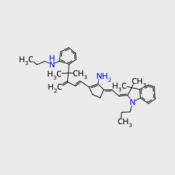 C=C(/C=C/C1=C(N)C(=C/C=C2/N(CCC)c3ccccc3C2(C)C)/CC1)C(C)(C)c1ccccc1NCCC